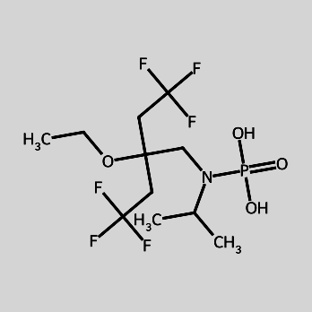 CCOC(CN(C(C)C)P(=O)(O)O)(CC(F)(F)F)CC(F)(F)F